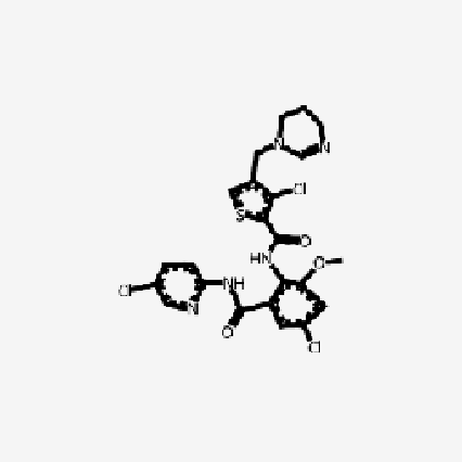 COc1cc(Cl)cc(C(=O)Nc2ccc(Cl)cn2)c1NC(=O)c1scc(CN2C=NCCC2)c1Cl